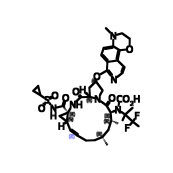 C[C@@H]1CC/C=C\[C@@H]2C[C@@]2(C(=O)NS(=O)(=O)C2CC2)NC(=O)[C@@H]2C[C@@H](Oc3nccc4c5c(ccc34)N(C)CCO5)CN2C(=O)[C@@H](N(C(=O)O)C(C)(C)C(C)(F)F)[C@H](C)C1